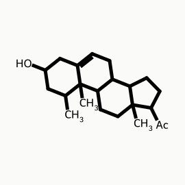 CC(=O)C1CCC2C3CC=C4CC(O)CC(C)C4(C)C3CCC12C